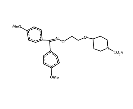 COc1ccc(C(=NOCCOC2CCN(C(=O)O)CC2)c2ccc(OC)cc2)cc1